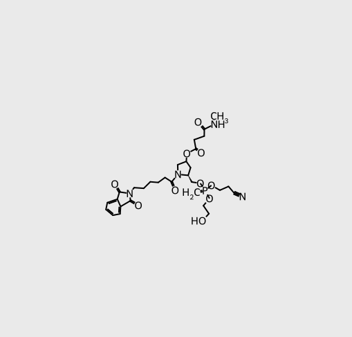 C=P(OCCO)(OCCC#N)OC[C@@H]1CC(OC(=O)CCC(=O)NC)CN1C(=O)CCCCCN1C(=O)c2ccccc2C1=O